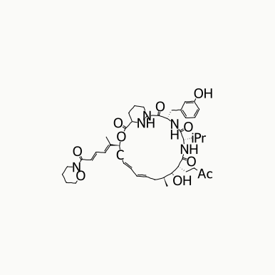 CC(=O)CC[C@H]1C(=O)N[C@@H](C(C)C)C(=O)N[C@@H](Cc2cccc(O)c2)C(=O)N2CCCC(N2)C(=O)O[C@H](/C(C)=C/C=C/C(=O)N2CCCCO2)C/C=C/C=C/C[C@H](C)[C@H]1O